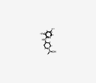 CB(O)N1CCC(Nc2ncc(F)cc2F)CC1